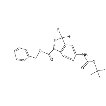 CC(C)(C)OC(=O)Nc1ccc(NC(=O)OCc2ccccc2)c(C(F)(F)F)c1